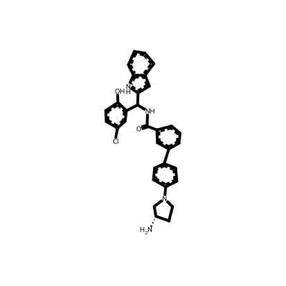 N[C@H]1CCN(c2ccc(-c3cccc(C(=O)NC(c4cc5ccccc5[nH]4)c4cc(Cl)ccc4O)c3)cc2)C1